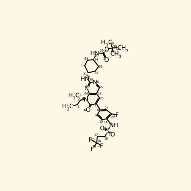 CC[C@H](C)n1c(=O)c(-c2ccc(NS(=O)(=O)CCC(F)(F)F)c(F)c2)cc2cnc(N[C@H]3CC[C@H](NC(=O)OC(C)(C)C)CC3)nc21